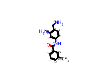 NCc1ccc(NC(=O)c2cccc(C(F)(F)F)c2)cc1N